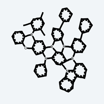 Cc1cc(C)c(B2c3ccccc3Oc3cc4c(cc32)B2c3ccc(-c5ccccc5)cc3N3c5cc(-c6ccccc6)ccc5B5c6c(cc(c2c63)N4c2ccccc2)-n2c3ccccc3c3cccc5c32)c(C)c1